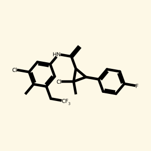 C=C(Nc1cc(Cl)c(C)c(CC(F)(F)F)c1)C1C(c2ccc(F)cc2)C1(C)Cl